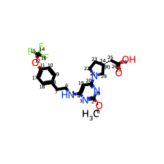 COc1nc(NCCc2ccc(OC(F)(F)F)cc2)cc(N2CC[C@H](CC(=O)O)C2)n1